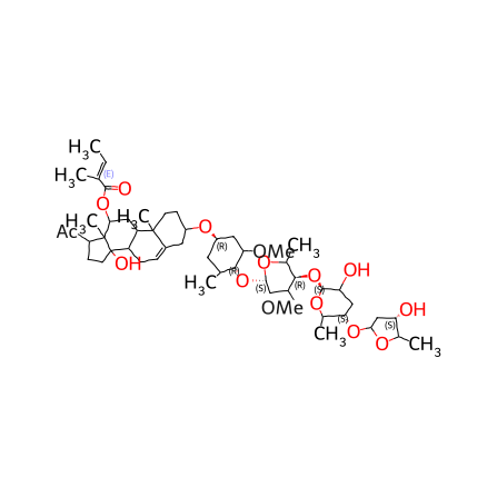 C/C=C(\C)C(=O)OC1CC2C(CC=C3CC(O[C@@H]4CC(C)[C@@H](O[C@H]5CC(OC)[C@H](O[C@@H]6OC(C)[C@@H](OC7C[C@H](O)C(C)O7)CC6O)C(C)O5)C(OC)C4)CCC32C)C2(O)CCC(C(C)=O)C12C